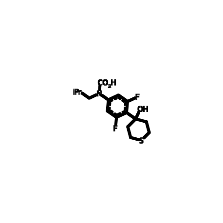 CC(C)CN(C(=O)O)c1cc(F)c(C2(O)CCSCC2)c(F)c1